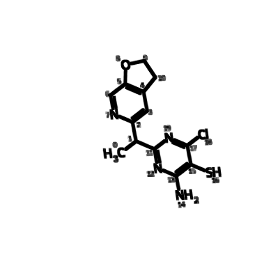 CC(c1cc2c(cn1)OCC2)c1nc(N)c(S)c(Cl)n1